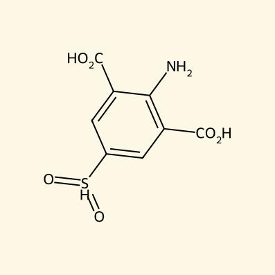 Nc1c(C(=O)O)cc([SH](=O)=O)cc1C(=O)O